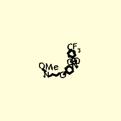 COCCN(C)CCCCOC1CCC(N(C)S(=O)(=O)c2ccc(C(F)(F)F)cc2)CC1